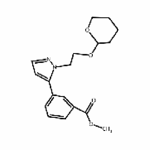 COC(=O)c1cccc(-c2ccnn2CCOC2CCCCO2)c1